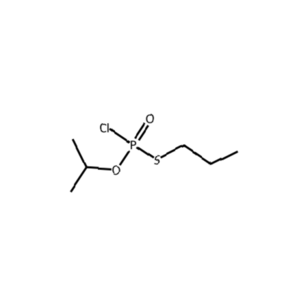 CCCSP(=O)(Cl)OC(C)C